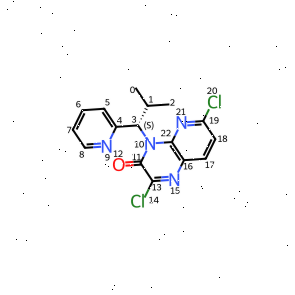 CC(C)[C@@H](c1ccccn1)n1c(=O)c(Cl)nc2ccc(Cl)nc21